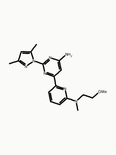 COCCN(C)c1cccc(-c2cc(N)nc(-n3nc(C)cc3C)n2)n1